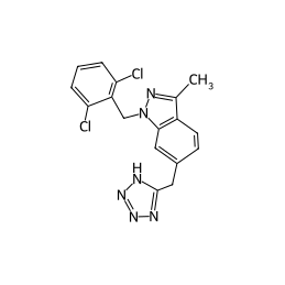 Cc1nn(Cc2c(Cl)cccc2Cl)c2cc(Cc3nnn[nH]3)ccc12